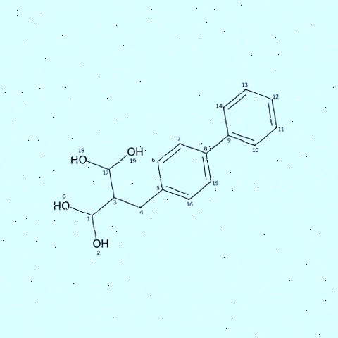 OC(O)C(Cc1ccc(-c2ccccc2)cc1)C(O)O